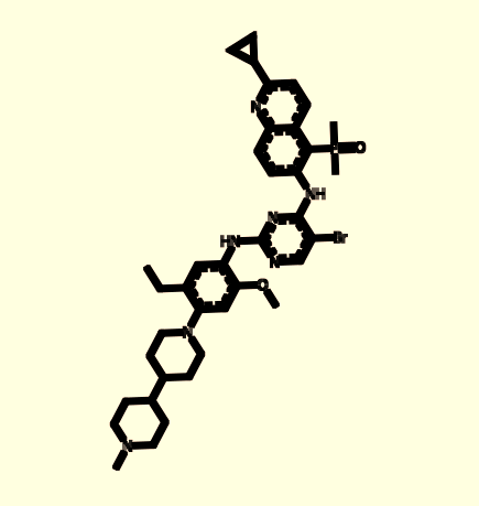 CCc1cc(Nc2ncc(Br)c(Nc3ccc4nc(C5CC5)ccc4c3P(C)(C)=O)n2)c(OC)cc1N1CCC(C2CCN(C)CC2)CC1